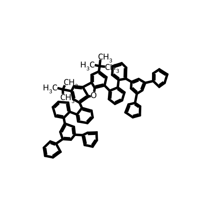 CC(C)(C)c1cc(-c2ccccc2-c2ccccc2-c2cc(-c3ccccc3)cc(-c3ccccc3)c2)c2oc3c(-c4ccccc4-c4ccccc4-c4cc(-c5ccccc5)cc(-c5ccccc5)c4)cc(C(C)(C)C)cc3c2c1